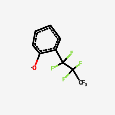 [O]c1ccccc1C(F)(F)C(F)(F)C(F)(F)F